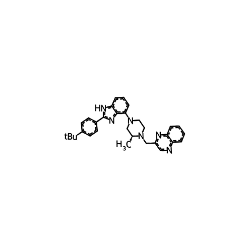 C[C@H]1CN(c2cccc3[nH]c(-c4ccc(C(C)(C)C)cc4)nc23)CCN1Cc1cnc2ccccc2n1